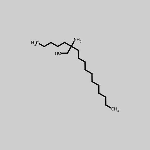 CCCCCCCCCCCC(N)(CO)CCCCC